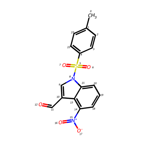 Cc1ccc(S(=O)(=O)n2cc(C=O)c3c([N+](=O)[O-])cccc32)cc1